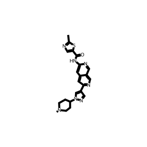 Cc1ncc(C(=O)Nc2cc3cc(-c4cnn(C5CCN(C)CC5)c4)ncc3cn2)s1